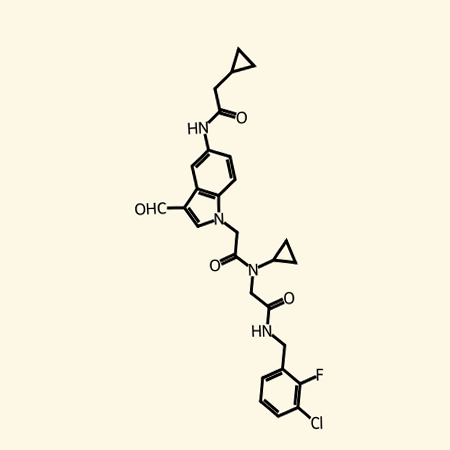 O=Cc1cn(CC(=O)N(CC(=O)NCc2cccc(Cl)c2F)C2CC2)c2ccc(NC(=O)CC3CC3)cc12